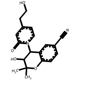 CC1(C)Oc2ccc(C#N)cc2C(n2ccc(CCO)cc2=O)C1O